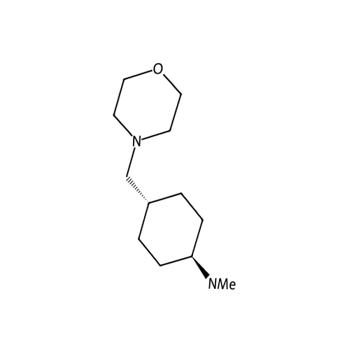 CN[C@H]1CC[C@H](CN2CCOCC2)CC1